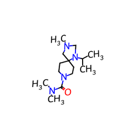 CC(C)N1CN(C)CC12CCN(C(=O)N(C)C)CC2